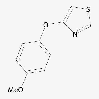 COc1ccc(Oc2cscn2)cc1